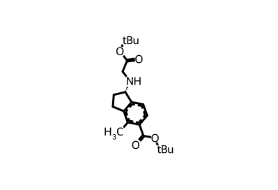 Cc1c(C(=O)OC(C)(C)C)ccc2c1CC[C@@H]2NCC(=O)OC(C)(C)C